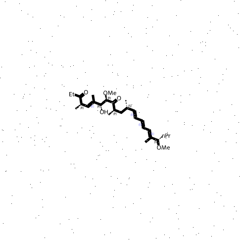 CCC[C@H](OC)/C(C)=C/C=C/C=C/[C@@H](C)C[C@@H](C)C(=O)[C@H](OC)[C@H](O)/C(C)=C/[C@@H](C)C(=O)CC